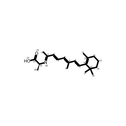 CC(/C=C/C=C(C)/C=C/C1=C(C)CCCC1(C)C)=N[C@@H](C)C(=O)O